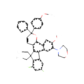 CCC1(CC)c2c(F)cc(F)cc2-c2c1c1c(c3cc(OC)c(N4CCOCC4)cc23)OC(c2ccccc2)(c2ccc(OC)cc2)C=C1